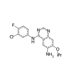 CC(C)Oc1cc2ncnc(Nc3ccc(F)c(Cl)c3)c2cc1N